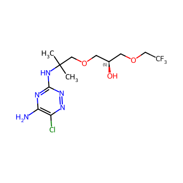 CC(C)(COC[C@H](O)COCC(F)(F)F)Nc1nnc(Cl)c(N)n1